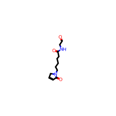 O=CCNC(=O)CCCCCN1CC=CC1=O